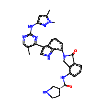 Cc1cnc(Nc2cc(C)n(C)n2)nc1-c1c[nH]c2c(N3Cc4c(NC(=O)[C@@H]5CCNC5)cccc4C3=O)cccc12